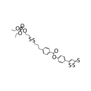 CCOP(=O)(OCC)OCCSSCCCc1ccc(C(=O)Oc2ccc(-c3cc(=S)ss3)cc2)cc1